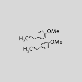 C/C=C/c1ccc(OC)cc1.C=CCc1ccc(OC)cc1